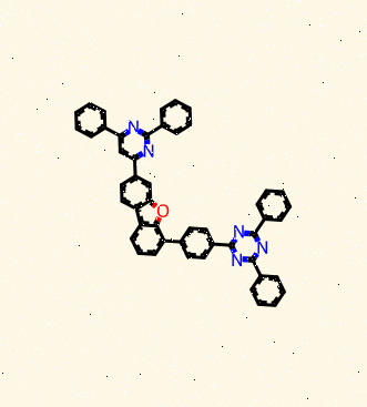 c1ccc(-c2cc(-c3ccc4c(c3)oc3c(-c5ccc(-c6nc(-c7ccccc7)nc(-c7ccccc7)n6)cc5)cccc34)nc(-c3ccccc3)n2)cc1